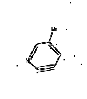 Brc1cc#cnc1